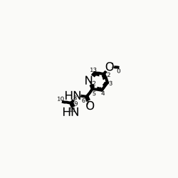 COc1ccc(C(=O)NC(C)=N)nc1